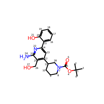 CC(C)(C)OC(=O)N1CCCC(c2cc(-c3ccccc3O)nc(N)c2CO)C1